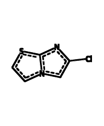 Clc1cn2ccsc2n1